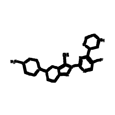 CN1CCN(C2CCc3nn(-c4ncc(F)c(C5CNCCO5)n4)c(O)c3C2)CC1